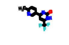 Cc1ccc(-c2cc(C(F)(F)F)[nH]c(=O)n2)cn1